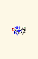 NC(=O)c1nnc(CC2=CC=C(F)CC=C2)[nH]1